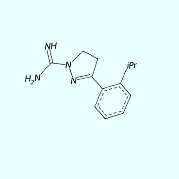 CC(C)c1ccccc1C1=NN(C(=N)N)CC1